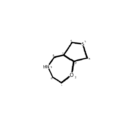 C1COC2CSCC2CN1